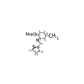 COc1ccc(C)cc1N=Cc1cccs1